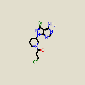 Nc1ncnc2c1c(Br)nn2C1CCCN(C(=O)CCCl)C1